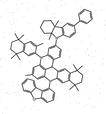 Cc1cc2c3c(c1)N(c1cccc4oc5ccccc5c14)c1cc4c(cc1B3c1ccc(N3c5ccc(-c6ccccc6)cc5C5(C)CCCCC35C)cc1N2c1cc2c(cc1C)C(C)(C)CCC2(C)C)C(C)(C)CCC4(C)C